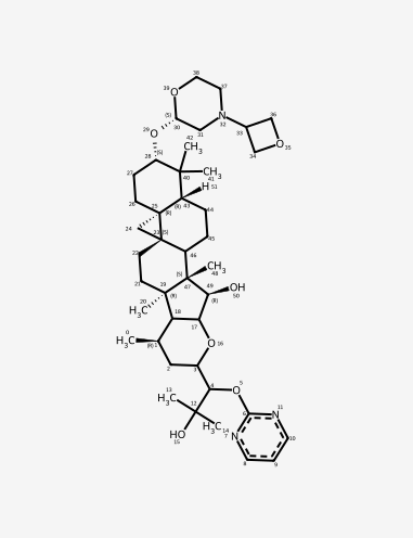 C[C@@H]1CC(C(Oc2ncccn2)C(C)(C)O)OC2C1[C@@]1(C)CC[C@@]34C[C@@]35CC[C@H](O[C@H]3CN(C6COC6)CCO3)C(C)(C)[C@@H]5CCC4[C@]1(C)[C@H]2O